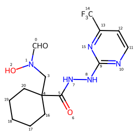 O=CN(O)CC1(C(=O)NNc2nccc(C(F)(F)F)n2)CCCCC1